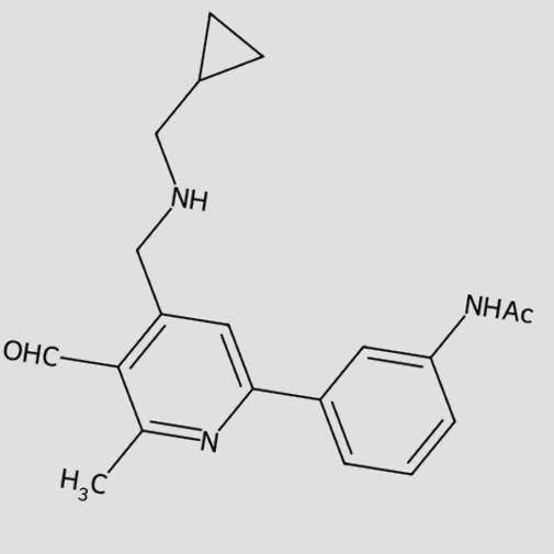 CC(=O)Nc1cccc(-c2cc(CNCC3CC3)c(C=O)c(C)n2)c1